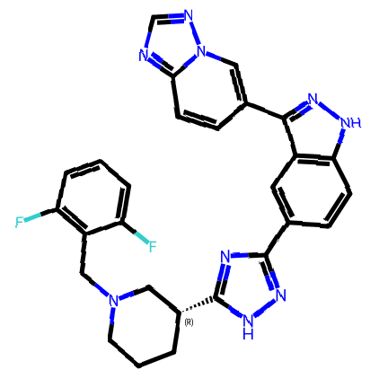 Fc1cccc(F)c1CN1CCC[C@@H](c2nc(-c3ccc4[nH]nc(-c5ccc6ncnn6c5)c4c3)n[nH]2)C1